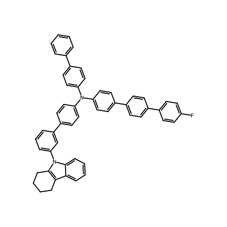 Fc1ccc(-c2ccc(-c3ccc(N(c4ccc(-c5ccccc5)cc4)c4ccc(-c5cccc(-n6c7c(c8ccccc86)CCCC7)c5)cc4)cc3)cc2)cc1